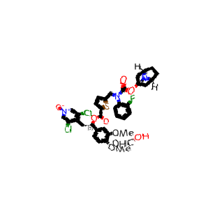 COc1ccc([C@H](Cc2c(Cl)c[n+]([O-])cc2Cl)OC(=O)c2ccc(CN(C(=O)OC3C[C@H]4CC[C@@H](C3)N4C)c3ccccc3F)s2)cc1OC.O=CO